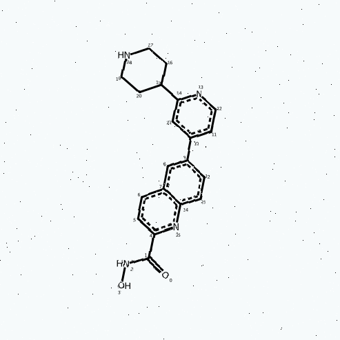 O=C(NO)c1ccc2cc(-c3ccnc(C4CCNCC4)c3)ccc2n1